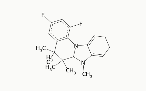 CN1C2=CCCC=C2N2c3c(F)cc(F)cc3C(C)(C)C(C)(C)C12